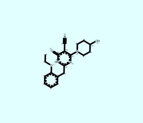 CCOc1ccccc1Cc1nc(N2CCC(O)CC2)c(C#N)c(=O)[nH]1